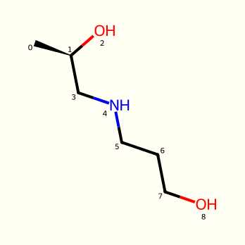 C[C@@H](O)CNCCCO